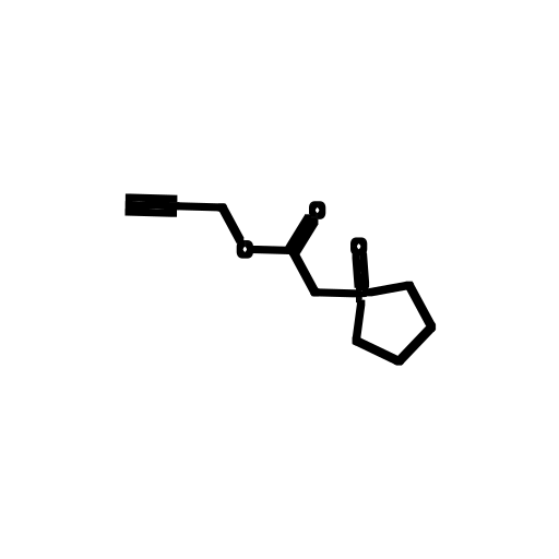 C#CCOC(=O)CP1(=O)CCCC1